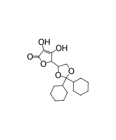 O=C1OC(C2COC(C3CCCCC3)(C3CCCCC3)O2)C(O)=C1O